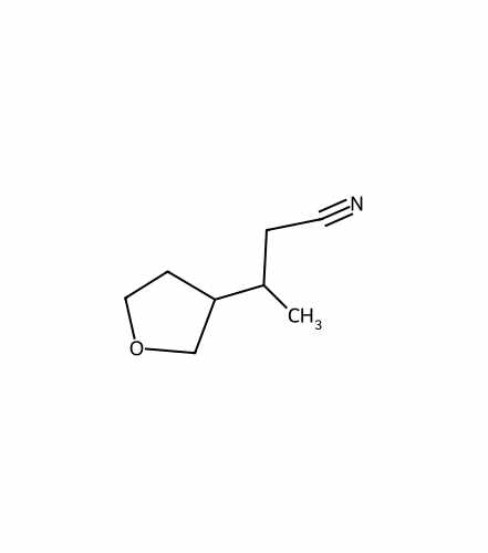 CC(CC#N)C1CCOC1